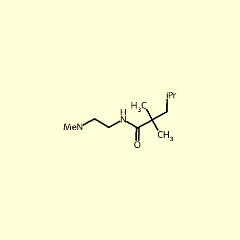 CNCCNC(=O)C(C)(C)CC(C)C